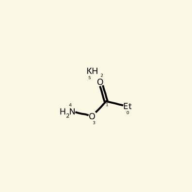 CCC(=O)ON.[KH]